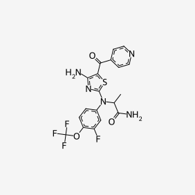 CC(C(N)=O)N(c1ccc(OC(F)(F)F)c(F)c1)c1nc(N)c(C(=O)c2ccncc2)s1